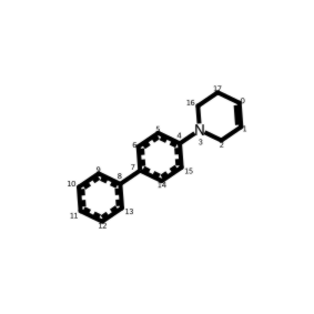 C1=CCN(c2ccc(-c3ccccc3)cc2)CC1